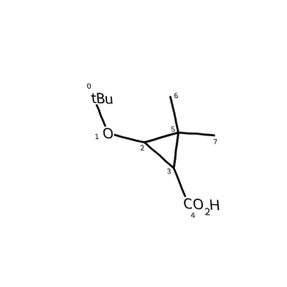 CC(C)(C)OC1C(C(=O)O)C1(C)C